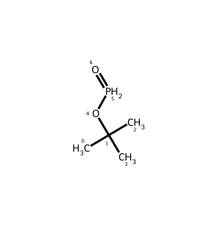 CC(C)(C)O[PH2]=O